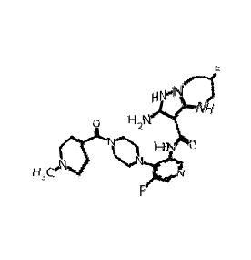 CN1CCC(C(=O)N2CCN(c3c(F)cncc3NC(=O)C3C(N)NN4CC(F)CNC34)CC2)CC1